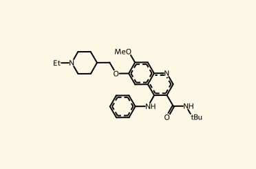 CCN1CCC(COc2cc3c(Nc4ccccc4)c(C(=O)NC(C)(C)C)cnc3cc2OC)CC1